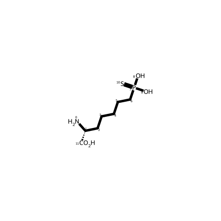 N[C@H](CCCCCP(O)(O)=S)C(=O)O